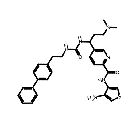 CN(C)CCC(NC(=O)NCCc1ccc(-c2ccccc2)cc1)c1ccc(C(=O)Nc2cscc2N)nc1